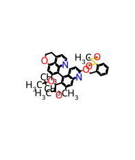 CC(=O)C(OC(C)(C)C)c1c(C)cc2nc(OCc3ccccc3S(C)(=O)=O)ccc2c1-c1ccc2c3c(ccnc13)CCO2